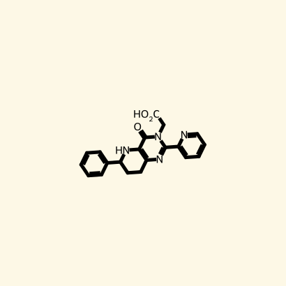 O=C(O)Cn1c(-c2ccccn2)nc2c(c1=O)NC(c1ccccc1)CC2